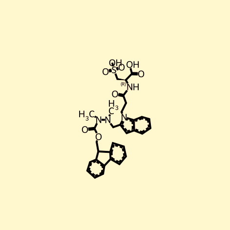 CN(Cc1cc2ccccc2n1CCC(=O)N[C@@H](CS(=O)(=O)O)C(=O)O)N(C)C(=O)OCC1c2ccccc2-c2ccccc21